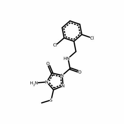 CSc1nn(C(=O)NCc2c(Cl)cccc2Cl)c(=O)n1N